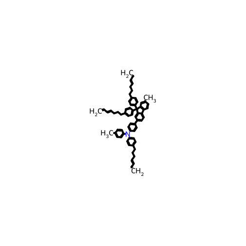 C=C/C=C/CCCc1ccc(N(c2ccc(C)cc2)c2ccc(-c3ccc4c(c3)C(c3ccc(CCC/C=C/C=C)cc3)(c3ccc(CCC/C=C/C=C)cc3)c3cc(C)ccc3-4)cc2)cc1